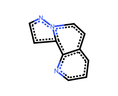 c1cnc2c(c1)ccn1nccc21